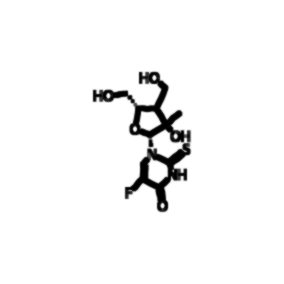 CC1(O)C(CO)[C@@H](CO)O[C@H]1n1cc(F)c(=O)[nH]c1=S